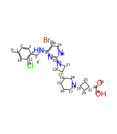 Cc1ccc([C@@H](C)Nc2nc(N3CC([C@H]4CCCN([C@H]5C[C@@H](C(=O)O)C5)C4)C3)ncc2Br)c(Cl)c1